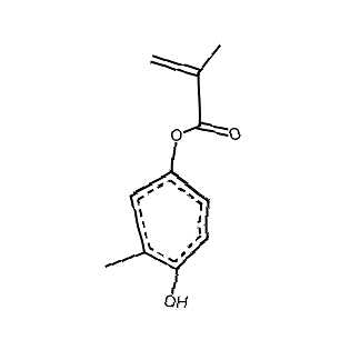 C=C(C)C(=O)Oc1ccc(O)c(C)c1